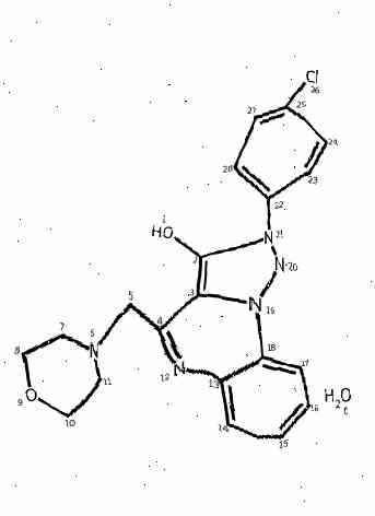 O.OC1=C2C(CN3CCOCC3)=Nc3ccccc3N2[N]N1c1ccc(Cl)cc1